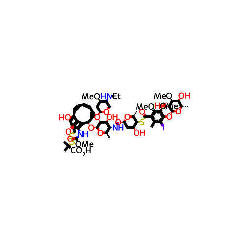 CCN[C@H]1CO[C@@H](O[C@H]2[C@H](O[C@H]3C#C/C=C\C#C[C@]4(O)CC(=O)C(NC(=O)OC)=C3/C4=C\CSSC(C)(C)C(=O)O)O[C@H](C)[C@@H](NO[C@H]3C[C@H](O)[C@H](SC(=O)c4c(C)c(I)c(O[C@@H]5O[C@@H](C)[C@H](O)[C@@H](OC)[C@H]5O)c(OC)c4OC)[C@@H](C)O3)[C@@H]2O)C[C@@H]1OC